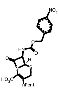 CCCCCC1=C(C(=O)O)N2C(=O)C(NC(=O)OCc3ccc([N+](=O)[O-])cc3)[C@H]2SC1